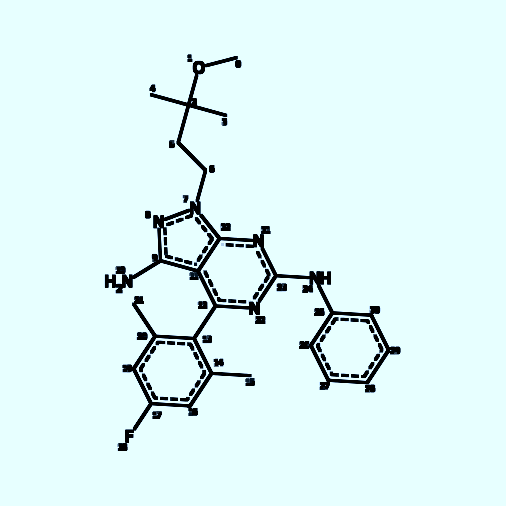 COC(C)(C)CCn1nc(N)c2c(-c3c(C)cc(F)cc3C)nc(Nc3ccccc3)nc21